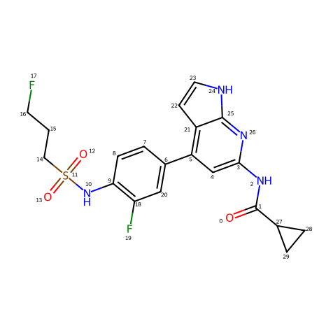 O=C(Nc1cc(-c2ccc(NS(=O)(=O)CCCF)c(F)c2)c2cc[nH]c2n1)C1CC1